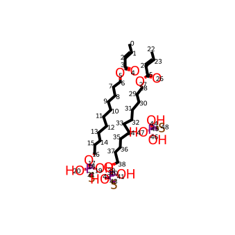 CC=CC(=O)OCCCCCCCCCCCOP(O)(O)=S.CC=CC(=O)OCCCCCCCCCCCOP(O)(O)=S.OP(O)(O)=S